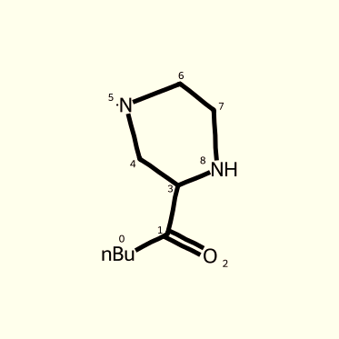 CCCCC(=O)C1C[N]CCN1